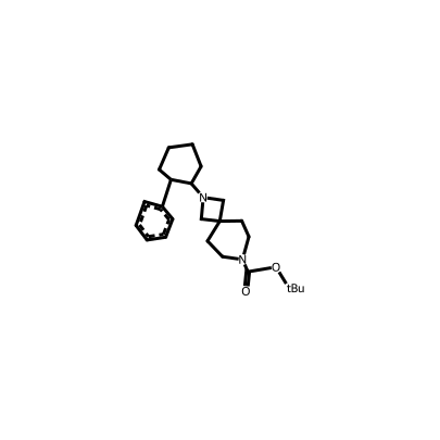 CC(C)(C)OC(=O)N1CCC2(CC1)CN(C1CCCCC1c1ccccc1)C2